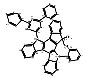 CC1(C)c2ccccc2-c2c1c1c(c3ccccc3n1-c1ccccc1)c1c3ccccc3n(-c3nc(-c4ccccc4)nc(-c4ccccc4)n3)c21